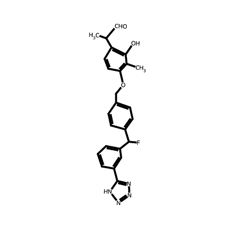 Cc1c(OCc2ccc(C(F)c3cccc(-c4nnn[nH]4)c3)cc2)ccc(C(C)C=O)c1O